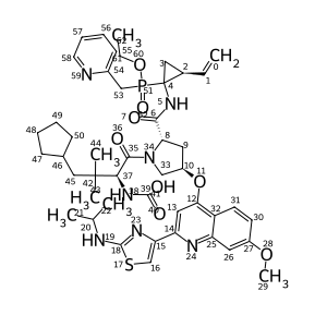 C=C[C@@H]1CC1(NC(=O)[C@@H]1C[C@@H](Oc2cc(-c3csc(NC(C)C)n3)nc3cc(OC)ccc23)CN1C(=O)[C@@H](NC(=O)O)C(C)(C)CC1CCCC1)P(=O)(Cc1ccccn1)OCC